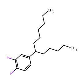 CCCCCCC(CCCCC)c1ccc(I)c(I)c1